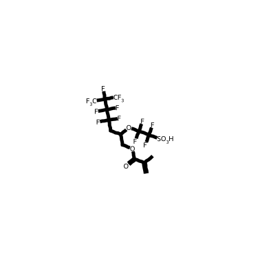 C=C(C)C(=O)OCC(CC(F)(F)C(F)(F)C(F)(C(F)(F)F)C(F)(F)F)OC(F)(F)C(F)(F)S(=O)(=O)O